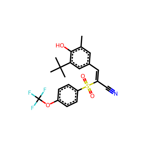 Cc1cc(C=C(C#N)S(=O)(=O)c2ccc(OC(F)(F)F)cc2)cc(C(C)(C)C)c1O